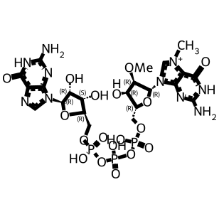 CO[C@@H]1[C@H](O)[C@@H](COP(=O)(O)OP(=O)(O)OP(=O)(O)OC[C@H]2O[C@@H](n3cnc4c(=O)[nH]c(N)nc43)[C@H](O)[C@@H]2O)O[C@H]1n1c[n+](C)c2c(=O)[nH]c(N)nc21